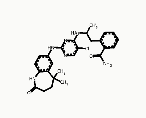 CC(Cc1ccccc1C(N)=O)[AsH]c1nc(Nc2ccc3c(c2)C(C)(C)CCC(=O)N3)ncc1Cl